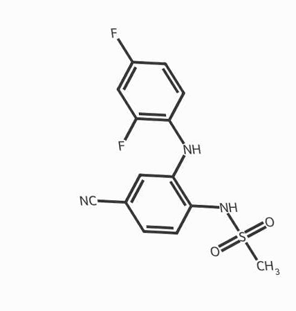 CS(=O)(=O)Nc1ccc(C#N)cc1Nc1ccc(F)cc1F